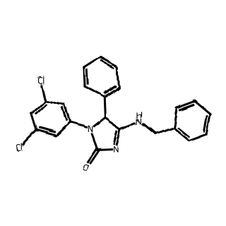 O=C1N=C(NCc2ccccc2)C(c2ccccc2)N1c1cc(Cl)cc(Cl)c1